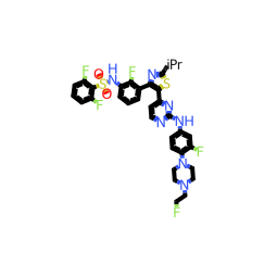 CC(C)c1nc(-c2cccc(NS(=O)(=O)c3c(F)cccc3F)c2F)c(-c2ccnc(Nc3ccc(N4CCN(CCF)CC4)c(F)c3)n2)s1